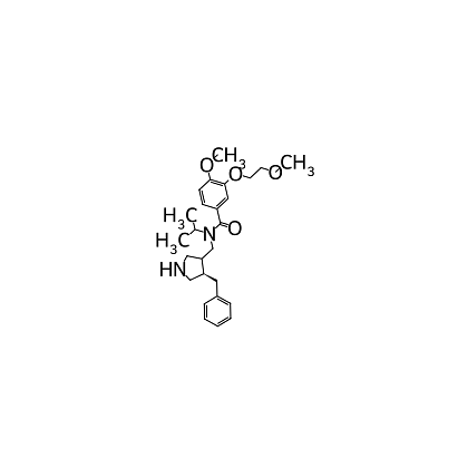 COCCOc1cc(C(=O)N(CC2CNC[C@@H]2Cc2ccccc2)C(C)C)ccc1OC